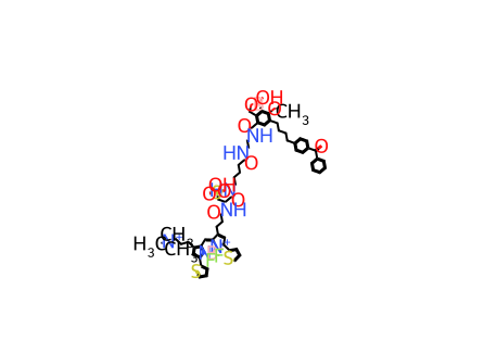 COc1c(CCCCc2ccc(C(=O)c3ccccc3)cc2)cc(C(=O)NCCNC(=O)CCCCNC(=O)C(CS(=O)(=O)O)NC(=O)CCC2=CC(c3cccs3)=[N+]3C2=Cc2c(CCC[N+](C)(C)C)cc(-c4cccs4)n2[B-]3(F)F)c2c1B(O)OC2